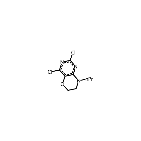 CCCN1CCOc2c(Cl)nc(Cl)nc21